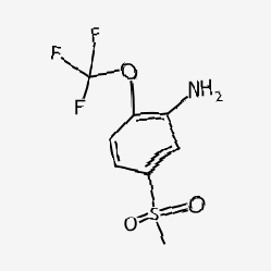 CS(=O)(=O)c1ccc(OC(F)(F)F)c(N)c1